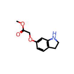 COC(=O)COc1ccc2c(c1)NCC2